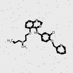 C=CCN(C)CCOc1cccc2ncnc(Nc3ccc(OCc4ccccn4)c(Cl)c3)c12